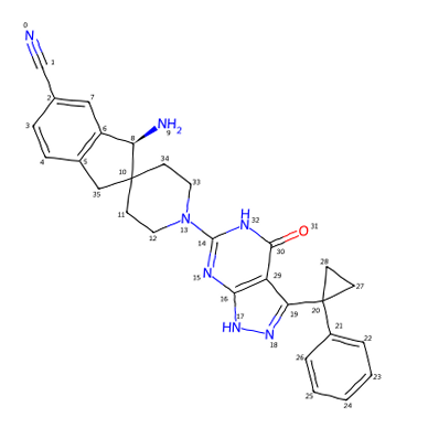 N#Cc1ccc2c(c1)[C@@H](N)C1(CCN(c3nc4[nH]nc(C5(c6ccccc6)CC5)c4c(=O)[nH]3)CC1)C2